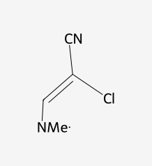 C[N]C=C(Cl)C#N